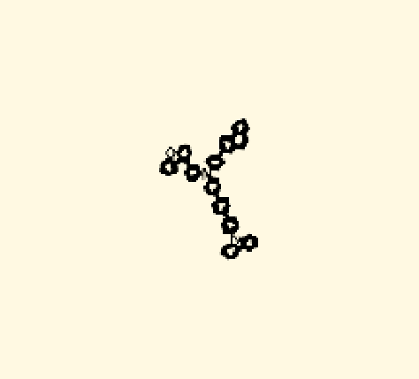 c1cc(-c2cccc3oc4ccccc4c23)cc(N(c2ccc(-c3ccc(-c4ccc(-n5c6ccccc6c6ccccc65)cc4)cc3)cc2)c2ccc(-c3ccc4c(ccc5ccccc54)c3)cc2)c1